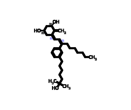 C=C1/C(=C\C=C(\CCCCCCC)c2cccc(CCCCCC(C)(C)O)c2)C[C@@H](O)C[C@@H]1O